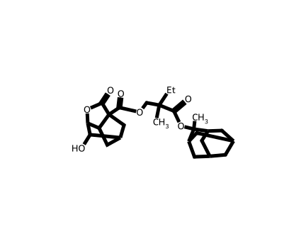 CCC(C)(COC(=O)C12CC3CC1C(OC2=O)C3O)C(=O)OC1(C)C2CC3CC(C2)CC1C3